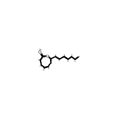 CCCCCCCC1CCCCCC(=O)O1